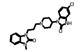 Cn1c(=O)n(CCCN2CCC(n3c(=O)[nH]c4cc(Cl)ccc43)CC2)c2ccccc21